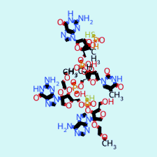 COCCOC1(n2cnc3c(N)ncnc32)CO[C@H](CO)C1OP(=O)(S)OC[C@H]1OCC(OCCOC)(n2cnc3c(=O)[nH]c(N)nc32)C1OP(=O)(O)OC[C@]12O[C@@H](n3cc(C)c(=O)[nH]c3=O)C(O[C@H]1C)[C@H]2OP(=O)(O)OC[C@]12O[C@@H](n3cnc4c(=O)[nH]c(N)nc43)C(O[C@H]1C)C2O[PH](=O)S